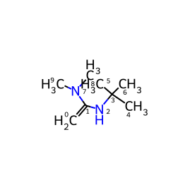 C=C(NC(C)(C)C)N(C)C